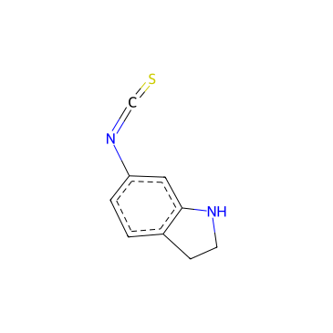 S=C=Nc1ccc2c(c1)NCC2